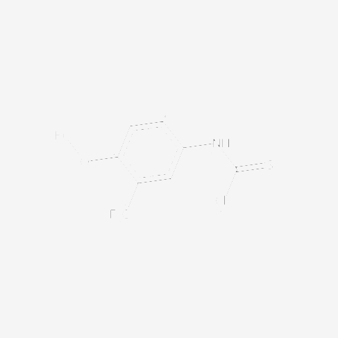 CCOc1ccc(NC(=S)Cl)cc1C(F)(F)F